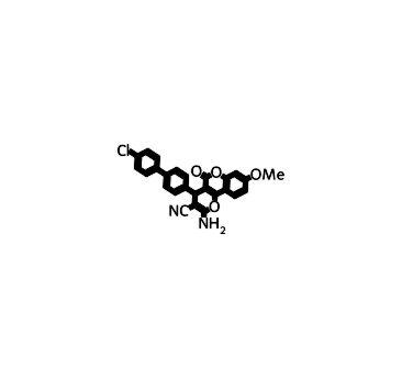 COc1ccc2c3c(c(=O)oc2c1)C(c1ccc(-c2ccc(Cl)cc2)cc1)C(C#N)=C(N)O3